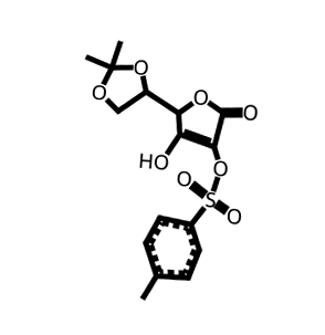 Cc1ccc(S(=O)(=O)OC2=C(O)C(C3COC(C)(C)O3)OC2=O)cc1